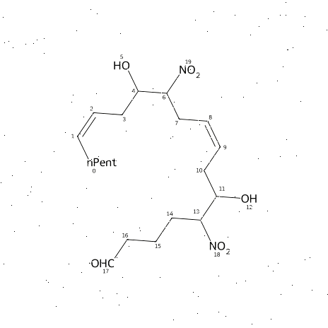 CCCCC/C=C\CC(O)C(C/C=C\CC(O)C(CCC[C]=O)[N+](=O)[O-])[N+](=O)[O-]